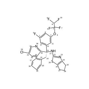 Fc1cc(OC(F)(F)C(F)F)cc([C@@](Cc2ccccc2)(Nc2nc3c(s2)CCC3)c2ccc(Cl)cn2)c1